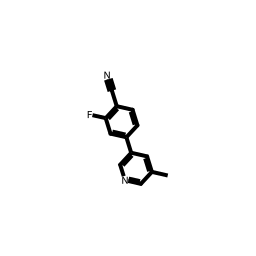 Cc1cncc(-c2ccc(C#N)c(F)c2)c1